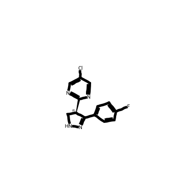 Fc1ccc(C2=NNC[C@H]2c2ncc(Cl)cn2)cc1